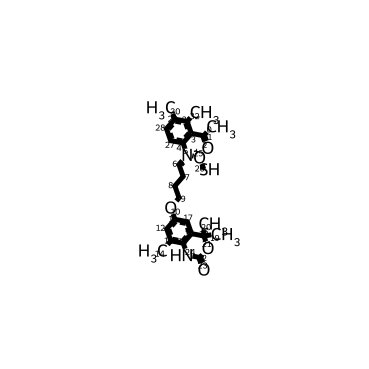 CC(=O)c1c([N+](=CCCCOc2cc(C)c3c(c2)C(C)(C)OC(=O)N3)OS)ccc(C)c1C